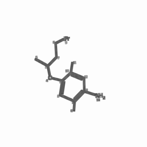 Cc1cc(OC(C)CCC(C)C)c(C)cc1N